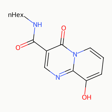 CCCCCCNC(=O)c1cnc2c(O)cccn2c1=O